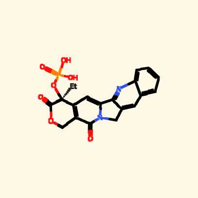 CC[C@@]1(OP(=O)(O)O)C(=O)OCc2c1cc1n(c2=O)Cc2cc3ccccc3nc2-1